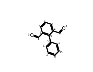 O=Cc1cccc(C=O)c1-c1ccccc1